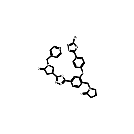 CC(C)c1nnc(-c2ccc(Oc3cc(-c4nnc(C5CC(=O)N(Cc6ccncc6)C5)o4)ccc3CN3CCCC3=O)cc2)s1